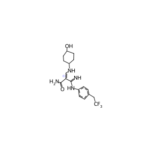 N=C(Nc1ccc(CC(F)(F)F)cc1)/C(=C\NC1CCC(O)CC1)C(N)=O